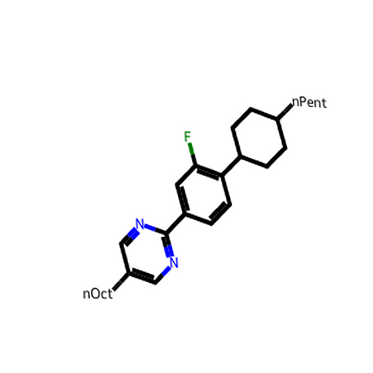 CCCCCCCCc1cnc(-c2ccc(C3CCC(CCCCC)CC3)c(F)c2)nc1